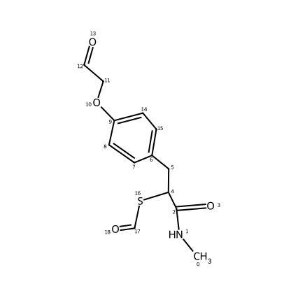 CNC(=O)C(Cc1ccc(OCC=O)cc1)SC=O